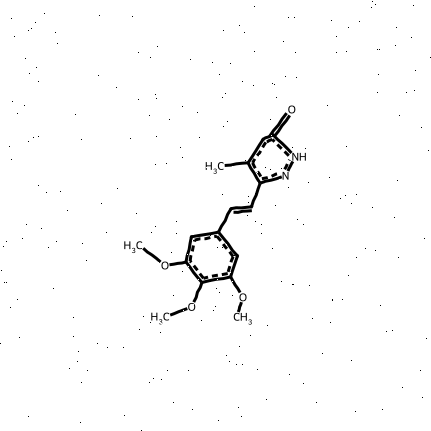 COc1cc(C=Cc2n[nH]c(=O)cc2C)cc(OC)c1OC